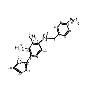 Cc1c(NCc2ccc(N)cc2)ccc(-c2ccco2)c1C